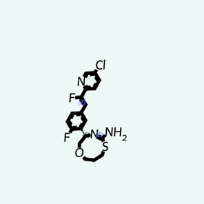 N/C1=N/[C@@H](c2cc(/C=C(\F)c3ccc(Cl)cn3)ccc2F)COCCCS1